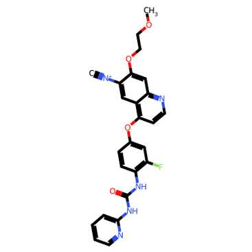 [C-]#[N+]c1cc2c(Oc3ccc(NC(=O)Nc4ccccn4)c(F)c3)ccnc2cc1OCCOC